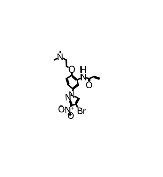 C=CC(=O)Nc1cc(-n2cc(Br)c([N+](=O)[O-])n2)ccc1OCCN(C)C